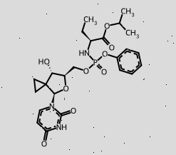 CC[C@H](NP(=O)(OC[C@H]1O[C@@H](n2ccc(=O)[nH]c2=O)C2(CC2)[C@@H]1O)Oc1ccccc1)C(=O)OC(C)C